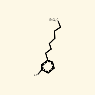 CCOC(=O)CCCCCCc1cccc(C(C)C)c1